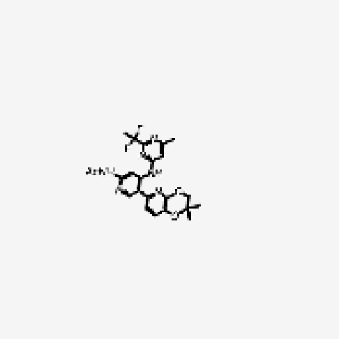 CC(=O)Nc1cc(Nc2cc(C)nc(C(C)(F)F)n2)c(-c2ccc3c(n2)OCC(C)(C)O3)cn1